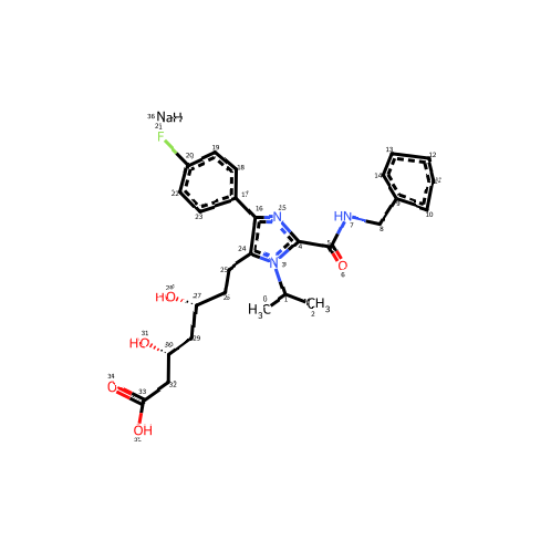 CC(C)n1c(C(=O)NCc2ccccc2)nc(-c2ccc(F)cc2)c1CC[C@@H](O)C[C@@H](O)CC(=O)O.[NaH]